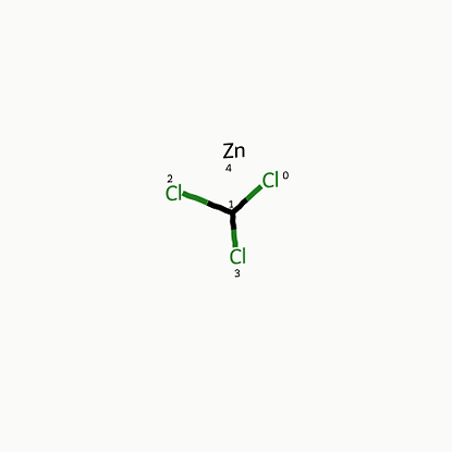 ClC(Cl)Cl.[Zn]